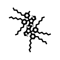 CCCCCCc1cc(C)cc(C2(c3cc(CCCCCC)cc(CCCCCC)c3)c3sccc3-c3sc4c5c(sc4c32)-c2ccsc2C5(c2cc(CCCCCC)cc(CCCCCC)c2)c2cc(CCCCCC)cc(CCCCCC)c2)c1